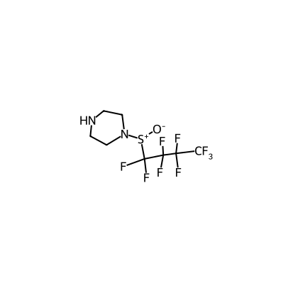 [O-][S+](N1CCNCC1)C(F)(F)C(F)(F)C(F)(F)C(F)(F)F